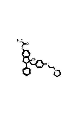 CC(=O)Oc1ccc2c(c1)CC(c1ccccc1)C2(O)Cc1ccc(OCCN2CCCC2)cc1